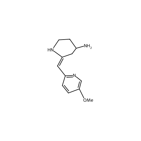 COc1ccc(C=C2CC(N)CCN2)nc1